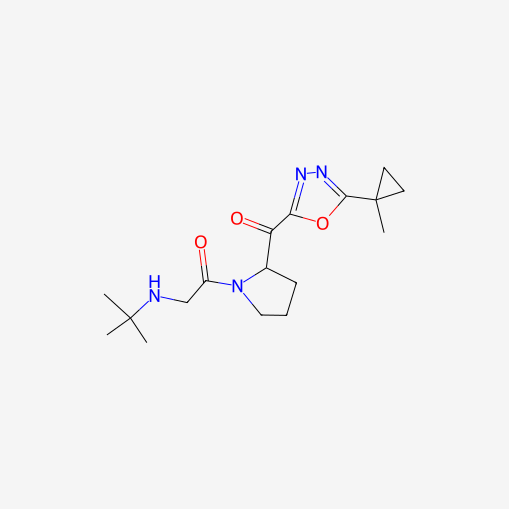 CC(C)(C)NCC(=O)N1CCCC1C(=O)c1nnc(C2(C)CC2)o1